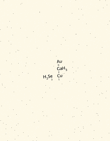 [Au].[Cu].[GaH3].[SeH2]